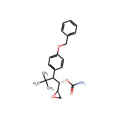 CC(C)(C)C(c1ccc(OCc2ccccc2)cc1)[C@H](OC(N)=O)[C@H]1CO1